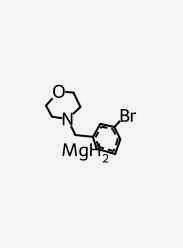 Brc1cccc(CN2CCOCC2)c1.[MgH2]